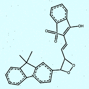 CC1(C)c2ccccc2-[n+]2ccc(C3OOC3/C=C/C3=C(O)c4ccccc4S3(=O)=O)cc21